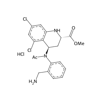 COC(=O)[C@@H]1C[C@@H](N(C(C)=O)c2ccccc2CN)c2c(Cl)cc(Cl)cc2N1.Cl